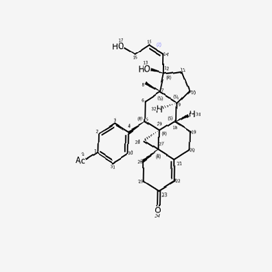 CC(=O)c1ccc([C@H]2C[C@@]3(C)[C@@H](CC[C@@]3(O)/C=C\CO)[C@@H]3CCC4=CC(=O)CC[C@]45C[C@]235)cc1